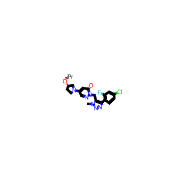 CC(C)O[C@@H]1CCN(c2cnn(Cc3c(-c4ccc(Cl)cc4F)nnn3C)c(=O)c2)C1